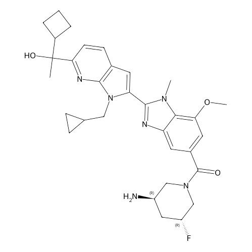 COc1cc(C(=O)N2C[C@H](N)C[C@@H](F)C2)cc2nc(-c3cc4ccc(C(C)(O)C5CCC5)nc4n3CC3CC3)n(C)c12